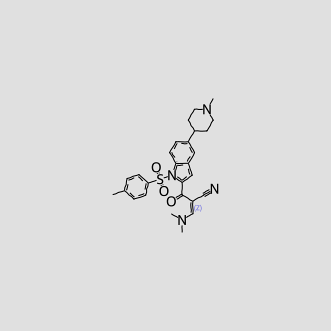 Cc1ccc(S(=O)(=O)n2c(C(=O)/C(C#N)=C\N(C)C)cc3cc(C4CCN(C)CC4)ccc32)cc1